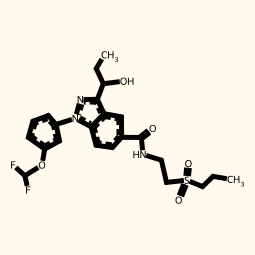 CCCS(=O)(=O)CCNC(=O)c1ccc2c(c1)c(C(O)CC)nn2-c1cccc(OC(F)F)c1